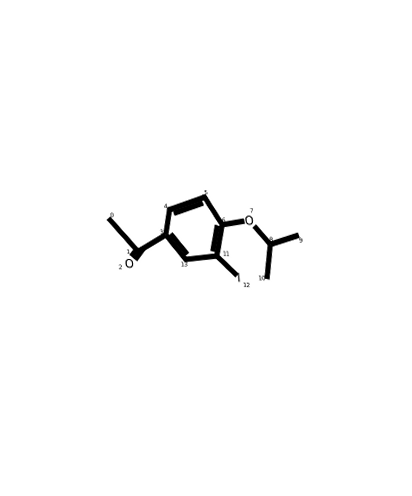 CC(=O)c1ccc(OC(C)C)c(I)c1